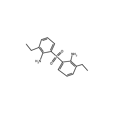 CCc1cccc(S(=O)(=O)c2cccc(CC)c2N)c1N